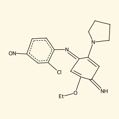 CCOC1=C/C(=N\c2ccc(N=O)cc2Cl)C(N2CCCC2)=CC1=N